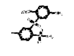 COc1ccc(N)cc1S(=O)(=O)c1cc(C)ccc1S(N)(=O)=O